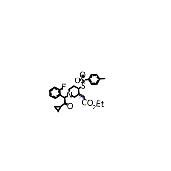 CCOC(=O)/C=C1\CN(C(C(=O)C2CC2)c2ccccc2F)CCC1SS(=O)(=O)c1ccc(C)cc1